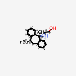 CCCC[C@@H]1Cc2ccccc2[C@](C)(NCCO)c2ccccc21